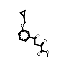 COC(=O)C(=O)CC(=O)c1cccc(OCC2CC2)c1